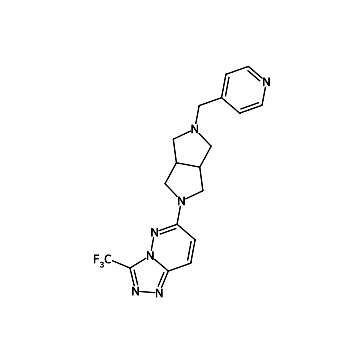 FC(F)(F)c1nnc2ccc(N3CC4CN(Cc5ccncc5)CC4C3)nn12